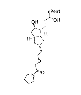 CCCCC[C@H](O)/C=C/[C@@H]1[C@H]2CC(=CCOCC(=O)N3CCCC3)C[C@H]2C[C@H]1O